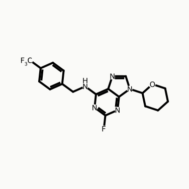 Fc1nc(NCc2ccc(C(F)(F)F)cc2)c2ncn(C3CCCCO3)c2n1